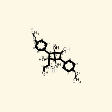 COc1ccc(C2C(O)[C@@]3(O)C(c4ccc(OC)cc4)[C@@](O)([C@H](O)CO)[C@@]23O)cc1